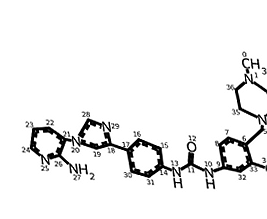 CN1CCN(Cc2ccc(NC(=O)Nc3ccc(-c4cn(-c5cccnc5N)cn4)cc3)cc2C(F)(F)F)CC1